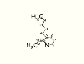 CCCCCc1cccnc1CC